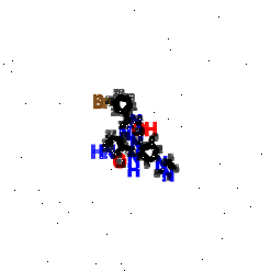 Cc1cc(-n2ccnc2)cc2[nH]c(-c3c(NCC(=NO)c4cccc(Br)c4)cc[nH]c3=O)nc12